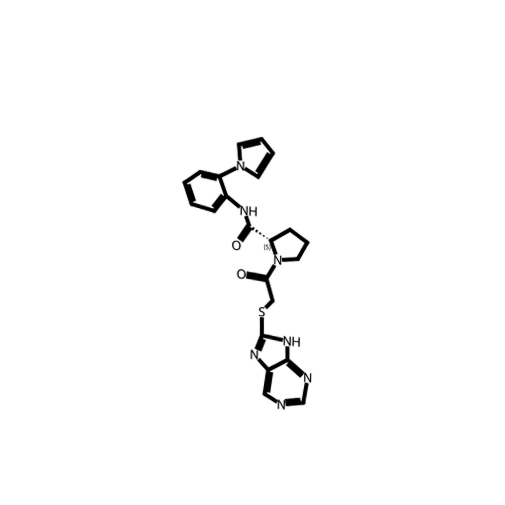 O=C(Nc1ccccc1-n1cccc1)[C@@H]1CCCN1C(=O)CSc1nc2cncnc2[nH]1